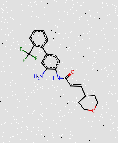 Nc1cc(-c2ccccc2C(F)(F)F)ccc1NC(=O)C=CC1CCOCC1